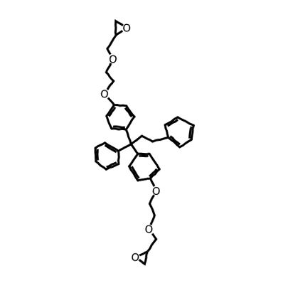 c1ccc(CCC(c2ccccc2)(c2ccc(OCCOCC3CO3)cc2)c2ccc(OCCOCC3CO3)cc2)cc1